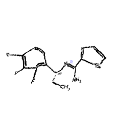 CC[C@@H](/N=C(\N)c1nccs1)c1ccc(F)c(F)c1F